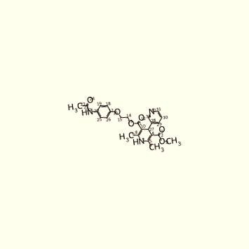 COC(=O)C1=C(C)NC(C)=C(C(=O)OCCOc2ccc(NC(C)=O)cc2)C1c1cccnc1